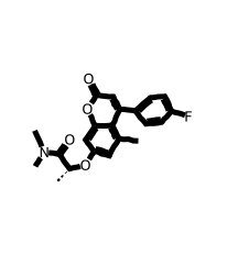 Cc1cc(O[C@H](C)C(=O)N(C)C)cc2oc(=O)cc(-c3ccc(F)cc3)c12